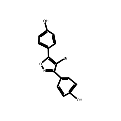 Oc1ccc(-c2noc(-c3ccc(O)cc3)c2Br)cc1